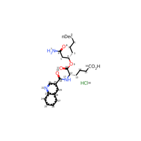 CCCCCCCCCCCCC[C@@H](CC(N)=O)OC(=O)[C@H](CCCC(=O)O)NC(=O)c1cnc2ccccc2c1.Cl